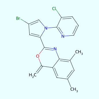 C=C1OC(c2cc(Br)cn2-c2ncccc2Cl)=Nc2c(C)cc(C)cc21